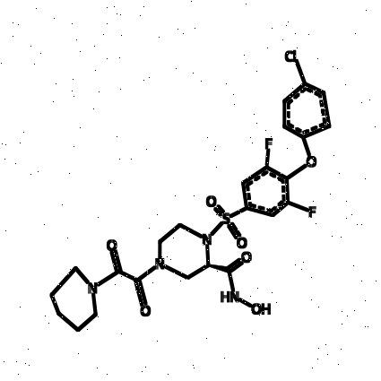 O=C(NO)[C@H]1CN(C(=O)C(=O)N2CCCCC2)CCN1S(=O)(=O)c1cc(F)c(Oc2ccc(Cl)cc2)c(F)c1